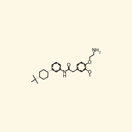 COc1cc(CC(=O)Nc2cccc([C@H]3CC[C@@H](C(C)(C)C)CC3)c2)ccc1OCCN